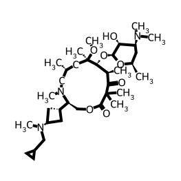 CO[C@]1(C)C[C@@H](C)CN(C)[C@H]([C@H]2C[C@@H](N(C)CC3CC3)C2)COC(=O)C(C)(C)C(=O)[C@H](C)[C@H]1O[C@@H]1O[C@H](C)C[C@H](N(C)C)[C@H]1O